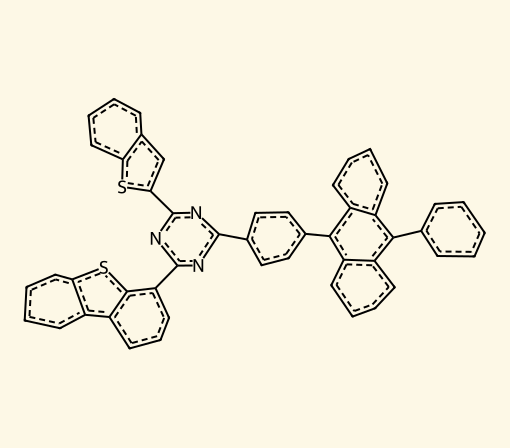 c1ccc(-c2c3ccccc3c(-c3ccc(-c4nc(-c5cc6ccccc6s5)nc(-c5cccc6c5sc5ccccc56)n4)cc3)c3ccccc23)cc1